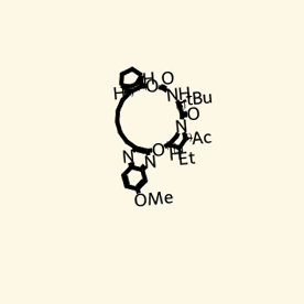 CC[C@@H]1[C@@H]2CN(C(=O)[C@H](C(C)(C)C)NC(=O)O[C@@H]3C4CCC(CC4)[C@H]3CCCCCc3nc4ccc(OC)cc4nc3O2)[C@@H]1C(C)=O